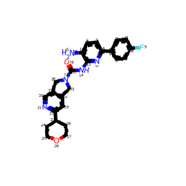 Nc1ccc(-c2ccc(F)cc2)nc1NC(=O)N1Cc2cnc(C3CCOCC3)cc2C1